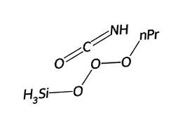 CCCOOO[SiH3].N=C=O